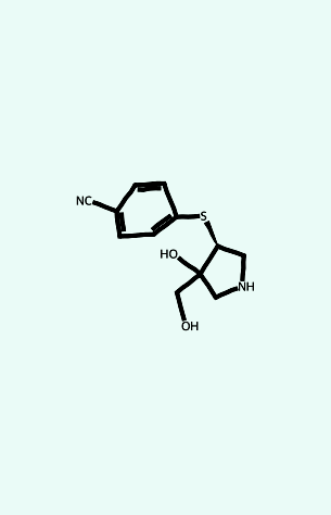 N#Cc1ccc(S[C@H]2CNCC2(O)CO)cc1